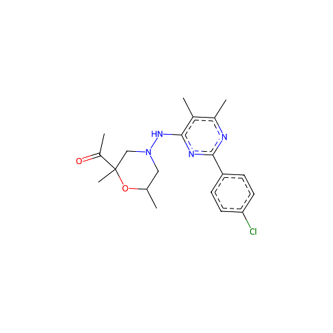 CC(=O)C1(C)CN(Nc2nc(-c3ccc(Cl)cc3)nc(C)c2C)CC(C)O1